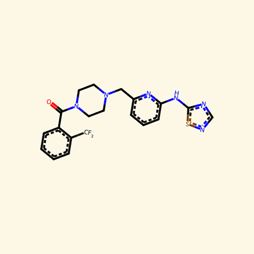 O=C(c1ccccc1C(F)(F)F)N1CCN(Cc2cccc(Nc3ncns3)n2)CC1